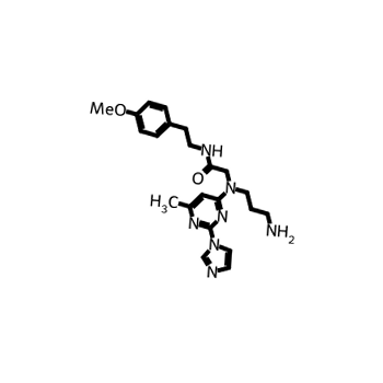 COc1ccc(CCNC(=O)CN(CCCN)c2cc(C)nc(-n3ccnc3)n2)cc1